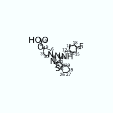 O=C(O)OC1CCN(c2nc(NCc3ccc(F)cc3)c3c4c(sc3n2)CCCC4)CC1